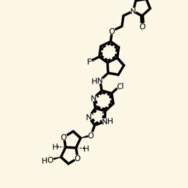 O=C1CCCN1CCOc1cc(F)c2c(c1)CCC2Nc1nc2nc(O[C@@H]3CO[C@H]4[C@@H]3OC[C@H]4O)[nH]c2cc1Cl